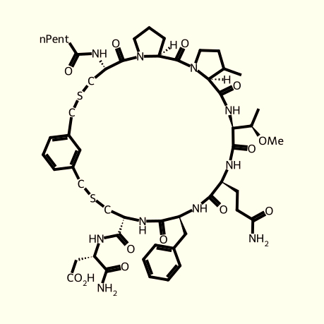 CCCCCC(=O)N[C@H]1CSCc2cccc(c2)CSC[C@@H](C(=O)N[C@@H](CC(=O)O)C(N)=O)NC(=O)[C@H](Cc2ccccc2)NC(=O)[C@H](CCC(N)=O)NC(=O)[C@H]([C@@H](C)OC)NC(=O)[C@@H]2C(C)CCN2C(=O)[C@@H]2CCCN2C1=O